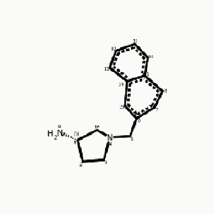 N[C@H]1CCN(Cc2ccc3ccccc3c2)C1